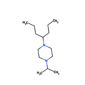 CCCC(CCC)N1CCN(C(C)C)CC1